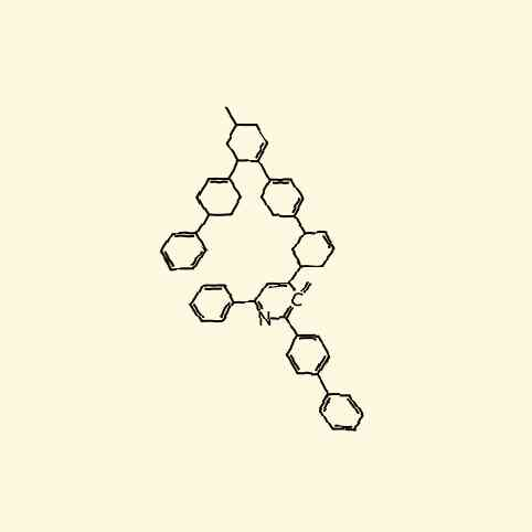 C=C=C(/N=C(\C=C(/C)C1CC=CC(C2=CC=C(C3=CCC(C)CC3C3=CCC(c4ccccc4)CC3)CC2)C1)c1ccccc1)c1ccc(-c2ccccc2)cc1